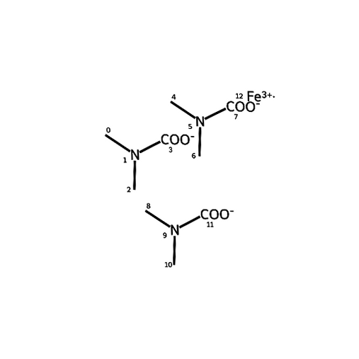 CN(C)C(=O)[O-].CN(C)C(=O)[O-].CN(C)C(=O)[O-].[Fe+3]